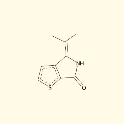 CC(C)=C1NC(=O)c2sccc21